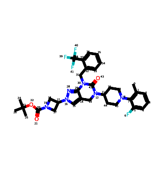 Cc1cccc(F)c1N1CCC(N2Cc3cn(C4CN(C(=O)OC(C)(C)C)C4)nc3N(Cc3ccccc3C(F)(F)F)C2=O)CC1